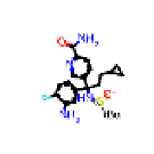 CC(C)(C)[S@@+]([O-])NC(CCC1CC1)(c1ccc(C(N)=O)nc1)c1ccc(F)c(N)c1